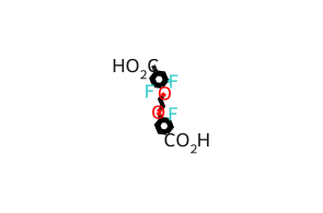 O=C(O)c1ccc(OCCOc2c(F)cc(C(=O)O)cc2F)c(F)c1